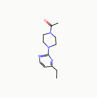 CCc1ccnc(N2CCN(C(C)=O)CC2)n1